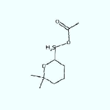 CC(=O)O[SiH2]C1CCCC(C)(C)O1